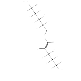 FC(OCC(F)(F)C(F)(F)C(F)(F)C(F)(F)C(F)(F)F)=C(F)C(F)(F)C(F)(F)C(F)(F)C(F)(F)F